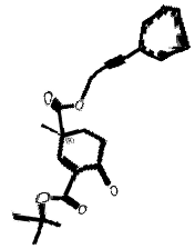 CC(C)(C)OC(=O)C1=C[C@](C)(C(=O)OCC#Cc2ccccc2)CCC1=O